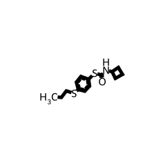 CCCSc1ccc(SC(=O)NC2CCC2)cc1